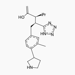 C=C(O)[C@@H](C(C)C)[C@H](Cc1ccc(C2CCNC2)c(C)c1)c1nnn[nH]1